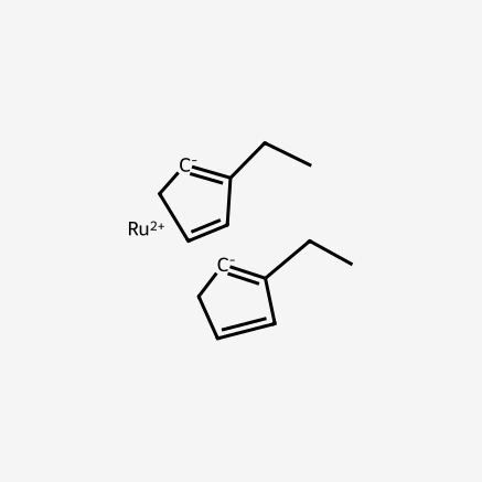 CCC1=[C-]CC=C1.CCC1=[C-]CC=C1.[Ru+2]